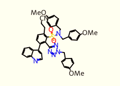 COc1ccc(CN(Cc2ccc(OC)cc2)S(=O)(=O)c2c(CCC#N)ccc(-c3ccnc4ccccc34)c2-c2nnn(Cc3ccc(OC)cc3)n2)cc1